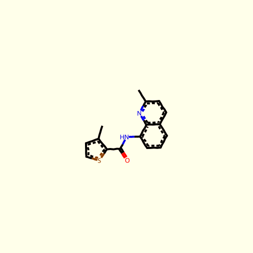 Cc1ccc2cccc(NC(=O)c3sccc3C)c2n1